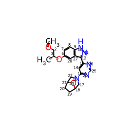 COC[C@H](C)Oc1ccc2[nH]nc(-c3cc(N4CC5CCC(C4)O5)ncn3)c2c1